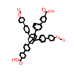 O=COc1ccc(-c2ccc(C34CC5(c6ccc(-c7ccc(OC=O)cc7)cc6)CC(c6ccc(-c7ccc(C(=O)O)cc7)cc6)(C3)CC(c3ccc(-c6ccc(C(=O)O)cc6)cc3)(C4)C5)cc2)cc1